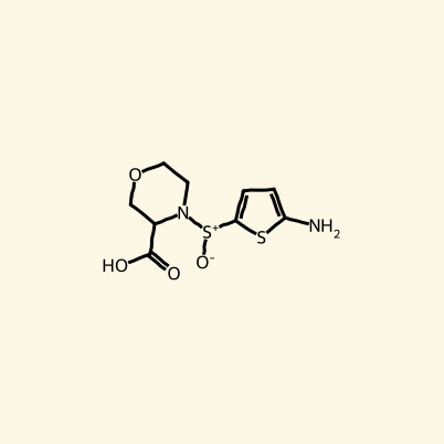 Nc1ccc([S+]([O-])N2CCOCC2C(=O)O)s1